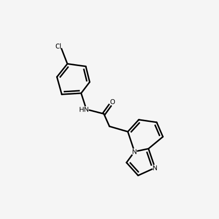 O=C(Cc1cccc2nccn12)Nc1ccc(Cl)cc1